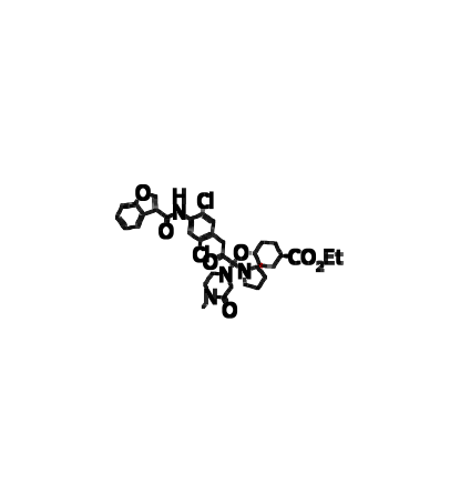 CCOC(=O)[C@H]1CC[C@H](OC(C(=O)Cc2cc(Cl)c(NC(=O)c3coc4ccccc34)cc2Cl)(N2CCCC2)N2CCN(C)C(=O)C2)CC1